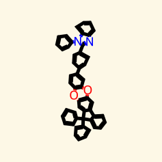 c1ccc(-n2c(-c3ccc(-c4ccc5c(c4)Oc4cc6c(cc4O5)C(c4ccccc4)(c4ccccc4)c4ccccc4-6)cc3)nc3ccccc32)cc1